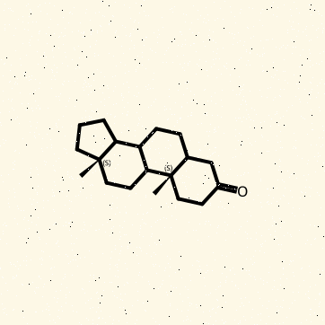 C[C@@]12CCCC1C1CCC3CC(=O)CC[C@]3(C)C1CC2